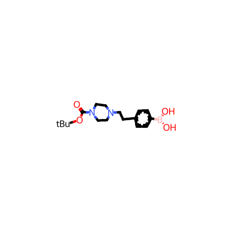 CC(C)(C)OC(=O)N1CCN(CCc2ccc(B(O)O)cc2)CC1